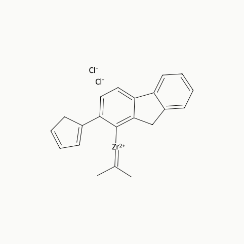 C[C](C)=[Zr+2][c]1c(C2=CC=CC2)ccc2c1Cc1ccccc1-2.[Cl-].[Cl-]